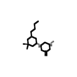 CCCCC1CC([C@H]2CNC[C@@H](C)C2)CC(C)(C)C1